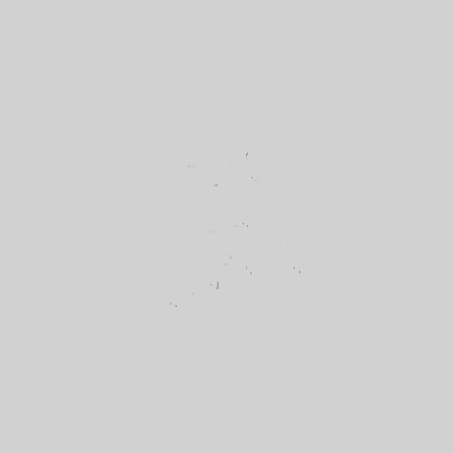 C[C@@H](NC(=O)C1C=CC2=NC3CC3CN(C(=O)Nc3nccs3)C2=N1)C(F)(F)F